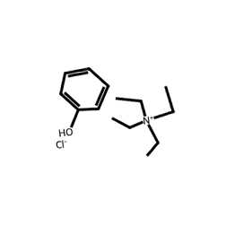 CC[N+](CC)(CC)CC.Oc1ccccc1.[Cl-]